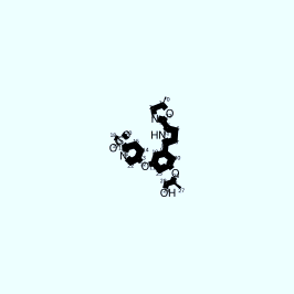 C[C@H]1CN=C(c2ccc(-c3cc(Oc4ccc(S(C)(=O)=O)nc4)cc(O[C@@H](C)CO)c3)[nH]2)O1